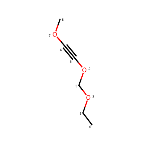 CCOCOC#COC